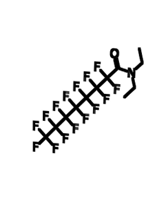 CCN(CC)C(=O)C(F)(F)C(F)(F)C(F)(F)C(F)(F)C(F)(F)C(F)(F)C(F)(F)F